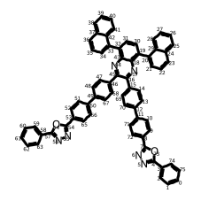 c1ccc(-c2nnc(-c3ccc(-c4ccc(-c5nc6c(-c7cccc8ccccc78)ccc(-c7cccc8ccccc78)c6nc5-c5ccc(-c6ccc(-c7nnc(-c8ccccc8)o7)cc6)cc5)cc4)cc3)o2)cc1